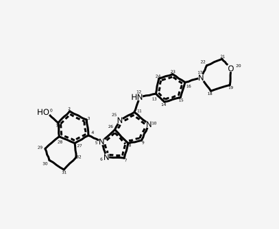 Oc1ccc(-n2ncc3cnc(Nc4ccc(N5CCOCC5)cc4)nc32)c2c1CCCC2